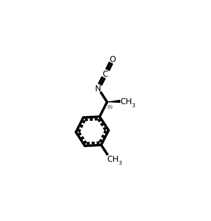 Cc1cccc([C@H](C)N=C=O)c1